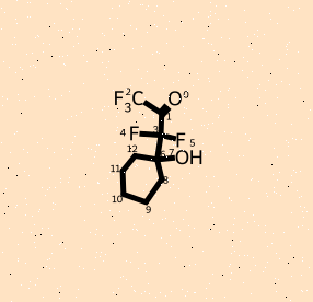 O=C(C(F)(F)F)C(F)(F)C1(O)CCCCC1